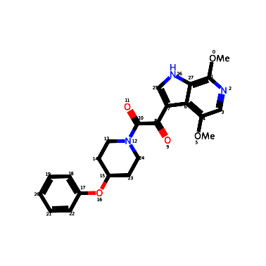 COc1ncc(OC)c2c(C(=O)C(=O)N3CCC(Oc4ccccc4)CC3)c[nH]c12